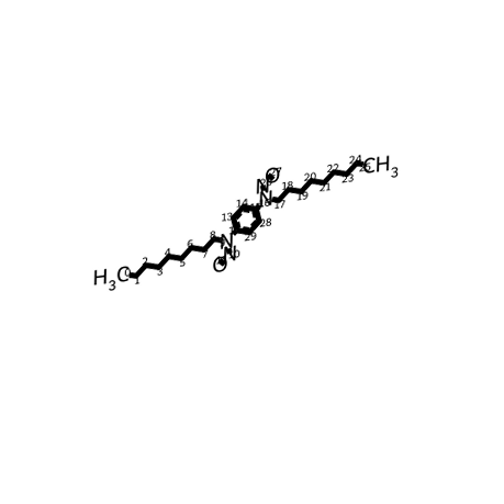 CCCCCCCCCN(N=O)c1ccc(N(CCCCCCCCC)N=O)cc1